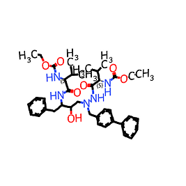 CCOC(=O)N[C@H](C(=O)NC(Cc1ccccc1)C(O)CN(Cc1ccc(-c2ccccc2)cc1)NC(=O)[C@@H](NC(=O)OCC)C(C)C)C(C)C